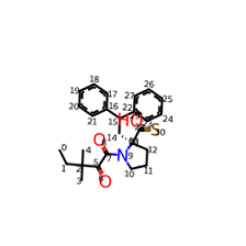 CCC(C)(C)C(=O)C(=O)N1CCC[C@]1(CC(c1ccccc1)c1ccccc1)C(O)=S